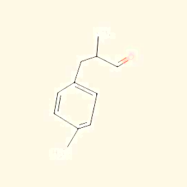 Cc1ccc(CC(C)C=O)cc1